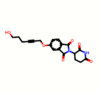 O=C1CCC(N2C(=O)c3ccc(OCC#CCCCO)cc3C2=O)C(=O)N1